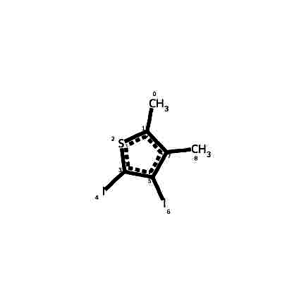 Cc1sc(I)c(I)c1C